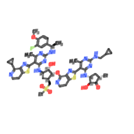 CC[C@H]1C[C@@H](Nc2nc(NCC3CC3)nc(C)c2-c2nc3c(O[C@@H]4[C@@H](CS(=O)(=O)CC)C[C@@H](Nc5nc(N[C@H](C)c6ccc(OC(F)(F)F)c(F)c6)nc(C)c5-c5nc6c(C7CC7)nccc6s5)[C@@H]4O)nccc3s2)[C@H](O)C1=O